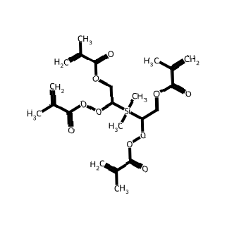 C=C(C)C(=O)OCC(OOC(=O)C(=C)C)[Si](C)(C)C(COC(=O)C(=C)C)OOC(=O)C(=C)C